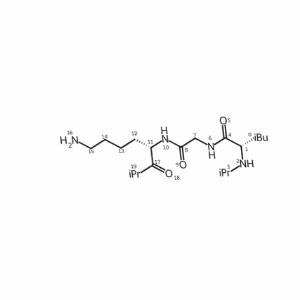 CCC(C)[C@H](NC(C)C)C(=O)NCC(=O)N[C@@H](CCCCN)C(=O)C(C)C